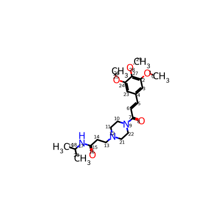 COc1cc(C=CC(=O)N2CCN(CCC(=O)NC(C)C)CC2)cc(OC)c1OC